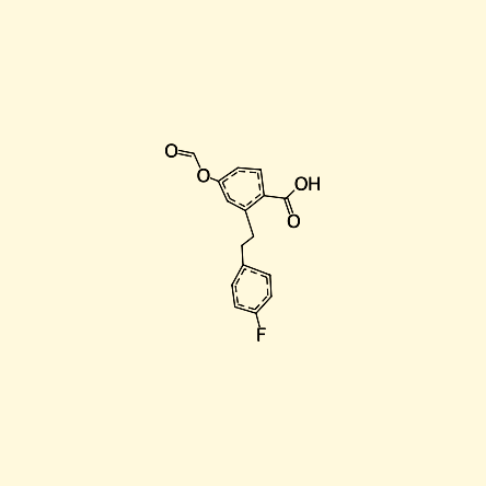 O=COc1ccc(C(=O)O)c(CCc2ccc(F)cc2)c1